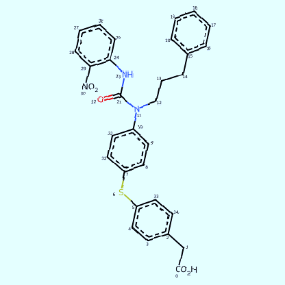 O=C(O)Cc1ccc(Sc2ccc(N(CCCc3ccccc3)C(=O)Nc3ccccc3[N+](=O)[O-])cc2)cc1